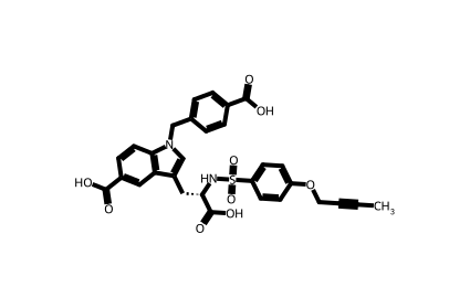 CC#CCOc1ccc(S(=O)(=O)N[C@@H](Cc2cn(Cc3ccc(C(=O)O)cc3)c3ccc(C(=O)O)cc23)C(=O)O)cc1